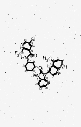 CC1=CCNc2ncc(-n3c(=O)n(C[C@H]4CC[C@H](NC(=O)c5cc(Cl)cnc5C(F)(F)F)CC4)c4cccnc43)cc21